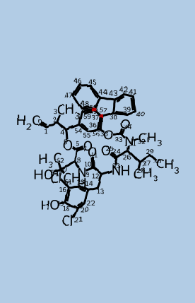 C=CC(C)C(OC(=O)C(NC(=O)C(Cc1cc(Cl)c(O)c(Cl)c1)NC(=O)C(C(C)CC)N(C)C(=O)OCC1c2ccccc2-c2ccccc21)C(C)(C)O)c1ccccc1